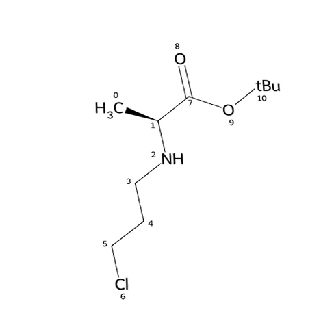 C[C@H](NCCCCl)C(=O)OC(C)(C)C